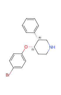 Brc1ccc(O[C@H]2CCNC[C@H]2c2ccccc2)cc1